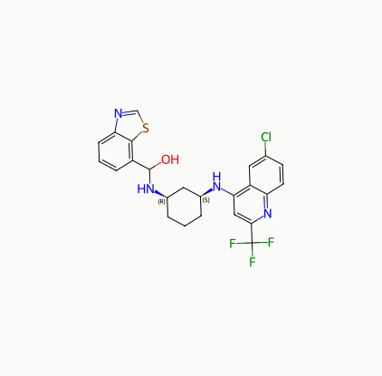 OC(N[C@@H]1CCC[C@H](Nc2cc(C(F)(F)F)nc3ccc(Cl)cc23)C1)c1cccc2ncsc12